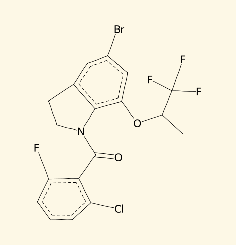 CC(Oc1cc(Br)cc2c1N(C(=O)c1c(F)cccc1Cl)CC2)C(F)(F)F